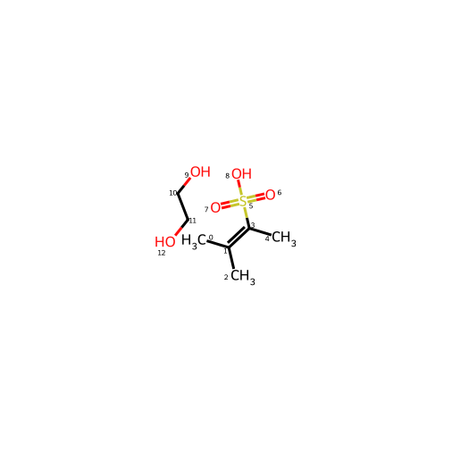 CC(C)=C(C)S(=O)(=O)O.OCCO